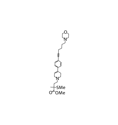 COC(=O)C(C)(CCN1CC=C(c2ccc(C#CCCCCN3CCOCC3)cc2)CC1)SC